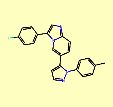 Cc1ccc(-n2nccc2-c2ccc3ncc(-c4ccc(F)cc4)n3c2)cc1